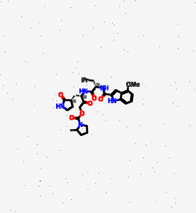 COc1cccc2[nH]c(C(=O)N[C@@H](CC(C)C)C(=O)N[C@@H](C[C@@H]3CCNC3=O)C(=O)COC(=O)N3CCCC3C)cc12